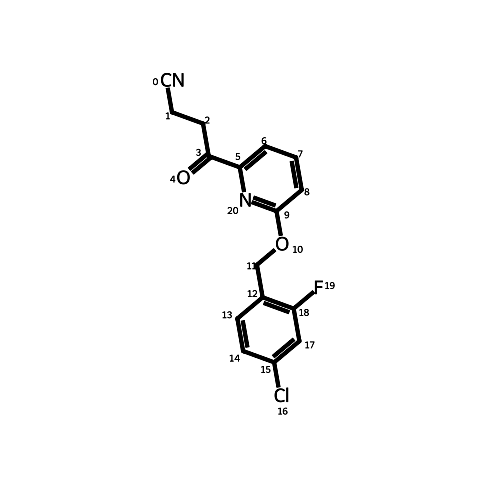 N#CCCC(=O)c1cccc(OCc2ccc(Cl)cc2F)n1